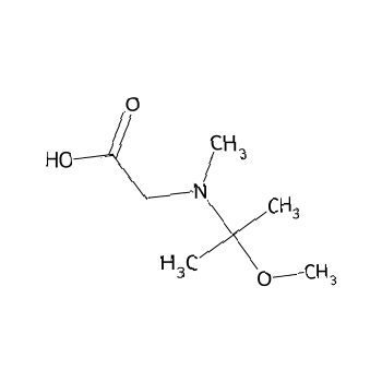 COC(C)(C)N(C)CC(=O)O